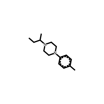 CCC(C)N1CCN(c2ccc(C)cc2)CC1